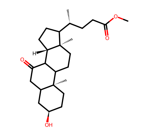 COC(=O)CC[C@@H](C)C1CC[C@H]2C3C(=O)CC4C[C@H](O)CC[C@]4(C)C3CC[C@]12C